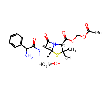 CC(C)(C)C(=O)OCOC(=O)[C@@H]1N2C(=O)[C@@H](NC(=O)C(N)c3ccccc3)[C@H]2SC1(C)C.O=S(=O)(O)O